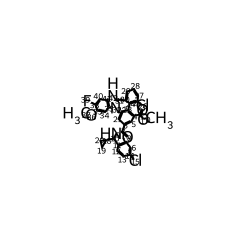 COC(=O)c1cc(C(=O)NC(c2ccc(Cl)cc2)C2CC2)ccc1-c1c(Cl)cccc1-c1nc2cc(OC)c(F)cc2[nH]1